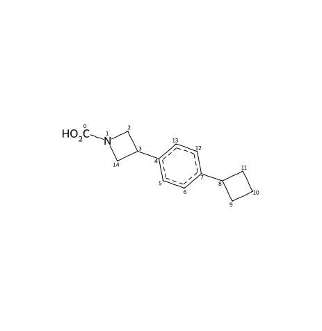 O=C(O)N1CC(c2ccc(C3CCC3)cc2)C1